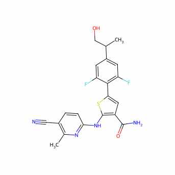 Cc1nc(Nc2sc(-c3c(F)cc(C(C)CO)cc3F)cc2C(N)=O)ccc1C#N